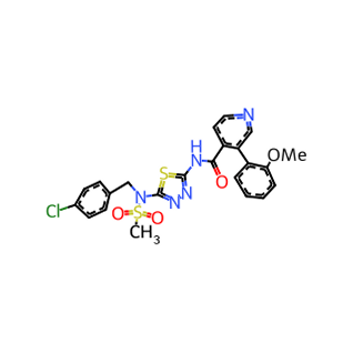 COc1ccccc1-c1cnccc1C(=O)Nc1nnc(N(Cc2ccc(Cl)cc2)S(C)(=O)=O)s1